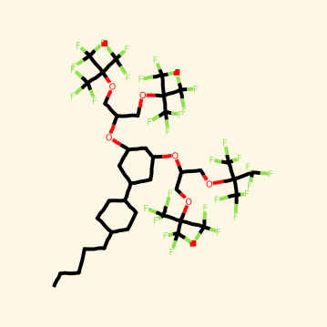 CCCCCC1CCC(C2CC(OC(COC(C(F)(F)F)(C(F)(F)F)C(F)(F)F)COC(C(F)(F)F)(C(F)(F)F)C(F)(F)F)CC(OC(COC(C(F)(F)F)(C(F)(F)F)C(F)(F)F)COC(C(F)(F)F)(C(F)(F)F)C(F)(F)F)C2)CC1